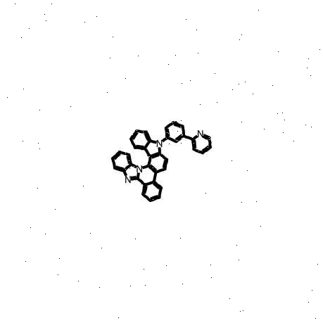 c1ccc(-c2cccc(-n3c4ccccc4c4c3ccc3c5ccccc5c5nc6ccccc6n5c34)c2)nc1